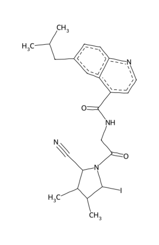 CC(C)Cc1ccc2nccc(C(=O)NCC(=O)N3C(I)C(C)C(C)C3C#N)c2c1